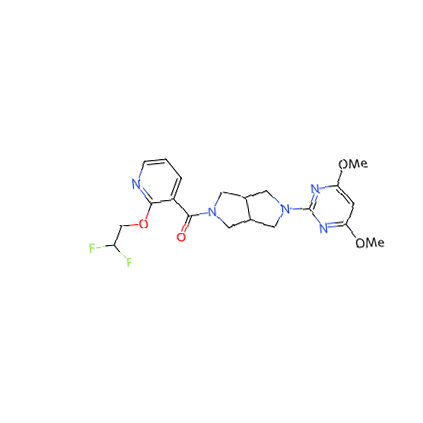 COc1cc(OC)nc(N2CC3CN(C(=O)c4cccnc4OCC(F)F)CC3C2)n1